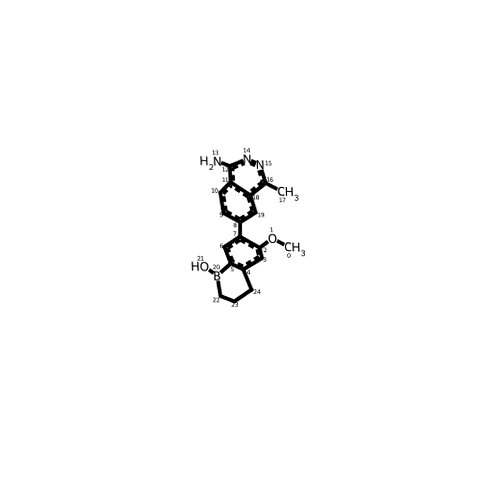 COc1cc2c(cc1-c1ccc3c(N)nnc(C)c3c1)B(O)CCC2